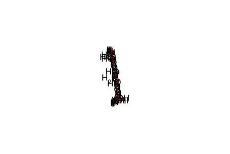 NC(COCCC(=O)NCCOCCOCCOCCOC[C@H]1OC[C@H](Nc2cncc(C(F)(F)F)n2)[C@@H](O)[C@H]1O)COCCC(=O)NCCOCCOCCOCCOC[C@H]1OC[C@H](Nc2cncc(C(F)(F)F)n2)[C@@H](O)[C@H]1O